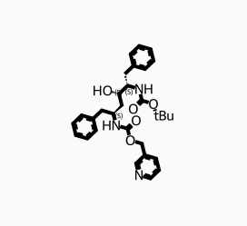 CC(C)(C)OC(=O)N[C@@H](Cc1ccccc1)[C@@H](O)C[C@H](Cc1ccccc1)NC(=O)OCc1cccnc1